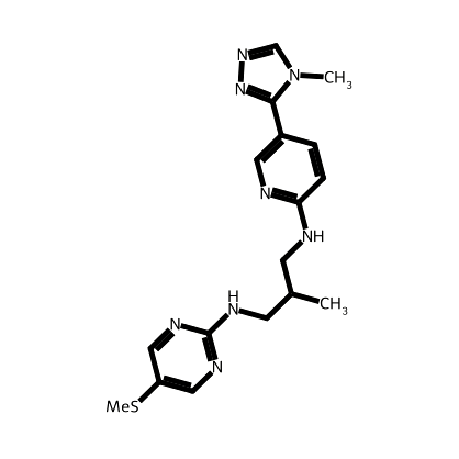 CSc1cnc(NCC(C)CNc2ccc(-c3nncn3C)cn2)nc1